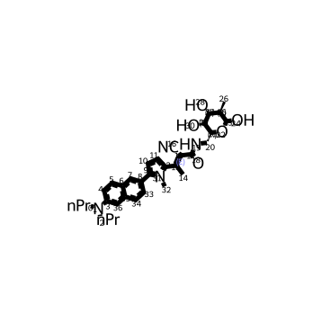 CCCN(CCC)c1ccc2cc(-c3ccc(/C(C)=C(\C#N)C(=O)NC[C@H]4OC(O)[C@H](C)[C@@H](O)[C@@H]4O)n3C)ccc2c1